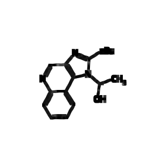 CCCCc1nc2cnc3ccccc3c2n1[C](C)O